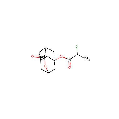 CC(Cl)C(=O)OC12CC3CC(C1)OC(=O)C(C3)C2